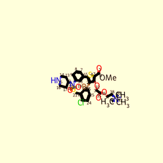 COC(=O)c1sc(-c2cccc(N(C3CCNCC3)S(=O)(=O)Cc3ccccc3)c2)c(Br)c1OCC(=O)OCC[N+](C)(C)C.[Cl-]